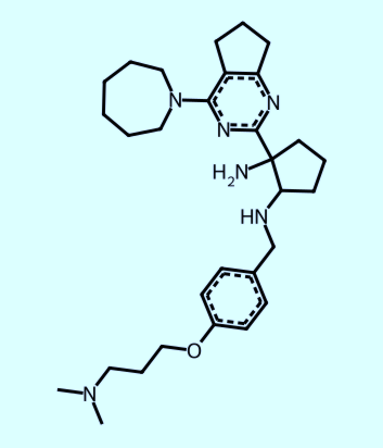 CN(C)CCCOc1ccc(CNC2CCCC2(N)c2nc3c(c(N4CCCCCC4)n2)CCC3)cc1